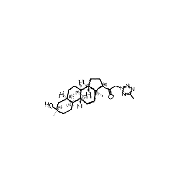 Cc1nnn(CC(=O)[C@@H]2CC[C@H]3[C@@H]4CC[C@@H]5C[C@](C)(O)CC[C@]5(C)[C@H]4CC[C@]23C)n1